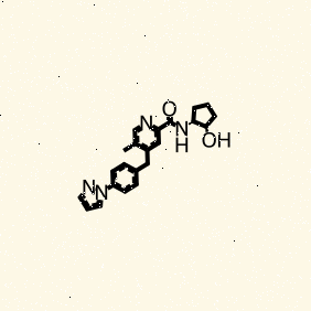 Cc1cnc(C(=O)N[C@@H]2CCC[C@H]2O)cc1Cc1ccc(-n2cccn2)cc1